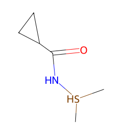 C[SH](C)NC(=O)C1CC1